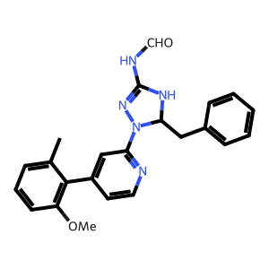 COc1cccc(C)c1-c1ccnc(N2N=C(NC=O)NC2Cc2ccccc2)c1